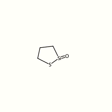 O=[Si]1CCCS1